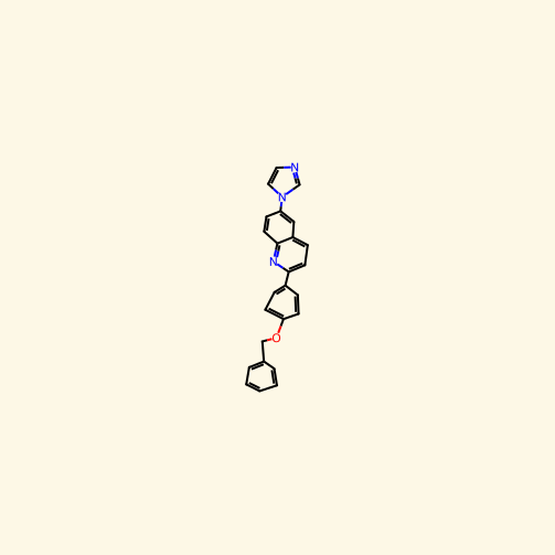 c1ccc(COc2ccc(-c3ccc4cc(-n5ccnc5)ccc4n3)cc2)cc1